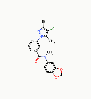 CCc1nn(-c2cccc(C(=O)N(C)c3ccc4c(c3)OCO4)c2)c(C)c1Cl